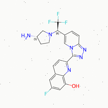 N[C@H]1CCN([C@H](c2ccc3nnc(-c4ccc5cc(F)cc(O)c5n4)n3c2)C(F)(F)F)C1